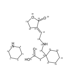 C1CCNCC1.O=C(O)CC1(CNCC=C2CCOC2=O)CCCCC1